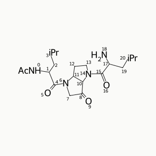 CC(=O)NC(CC(C)C)C(=O)N1CC(=O)C2C1CCN2C(=O)C(N)CC(C)C